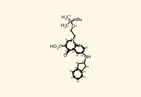 CC(C)(C)[Si](C)(C)OCCn1cc(C(=O)O)c(=O)c2cc(NC3Cc4ccccc4C3)cnc21